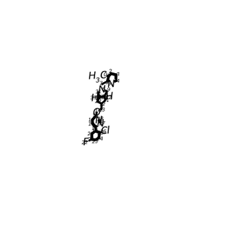 Cc1cccnc1CN1C[C@H]2CC(COc3ccc(-c4cc(F)ccc4Cl)nn3)C[C@H]2C1